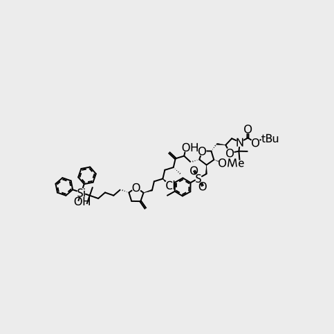 C=C(C(O)C[C@@H]1O[C@H](C[C@H]2CN(C(=O)OC(C)(C)C)C(C)(C)O2)[C@H](OC)[C@H]1CS(=O)(=O)c1ccc(C)cc1)[C@H](C)C[C@@H](Cl)CC[C@@H]1O[C@@H](CCCCC(C)(C)[Si](O)(c2ccccc2)c2ccccc2)CC1=C